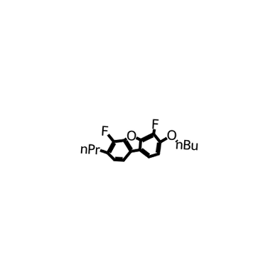 CCCCOc1ccc2c(oc3c(F)c(CCC)ccc32)c1F